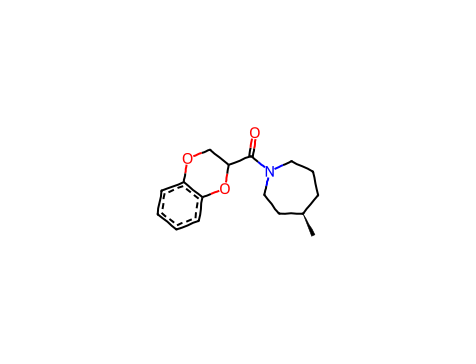 C[C@@H]1CCCN(C(=O)C2COc3ccccc3O2)CC1